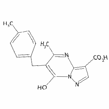 Cc1ccc(Cc2c(C)nc3c(C(=O)O)cnn3c2O)cc1